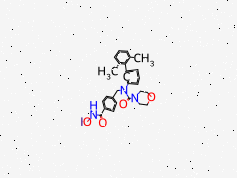 Cc1cccc(C)c1-c1cccc(N(Cc2ccc(C(=O)NOI)cc2)C(=O)N2CCOCC2)c1